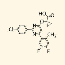 Cc1cc(F)c(F)cc1-c1cc(OC2(C(=O)O)CC2)nc(-c2ccc(Cl)cc2)n1